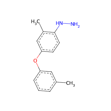 Cc1cccc(Oc2ccc(NN)c(C)c2)c1